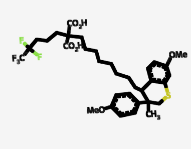 COc1ccc(C2(C)CSc3cc(OC)ccc3C2CCCCCCCCC(CCCC(F)(F)C(F)(F)F)(C(=O)O)C(=O)O)cc1